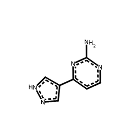 Nc1nccc(-c2cn[nH]c2)n1